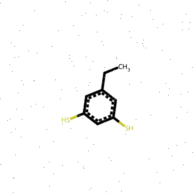 CCc1cc(S)cc(S)c1